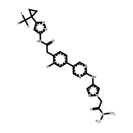 CN(C)C(=O)Cn1cc(Nc2ncc(-c3ccc(CC(=O)Nc4cc(C5(C(F)(F)F)CC5)on4)c(F)c3)cn2)cn1